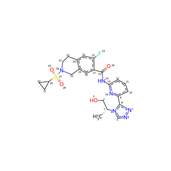 C[C@H](CO)n1cnnc1-c1cccc(NC(=O)c2cc3c(cc2F)CCN(S(=O)(=O)C2CC2)C3)n1